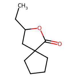 CCC1CC2(CCCC2)C(=O)O1